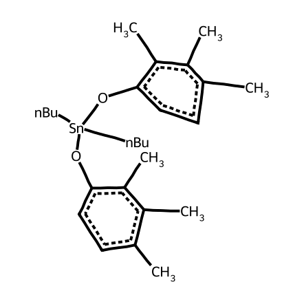 CCC[CH2][Sn]([CH2]CCC)([O]c1ccc(C)c(C)c1C)[O]c1ccc(C)c(C)c1C